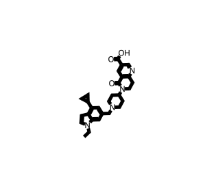 CCn1ccc2c(C3CC3)cc(CN3CCC(N4CCc5ncc(C(=O)O)cc5C4=O)CC3)cc21